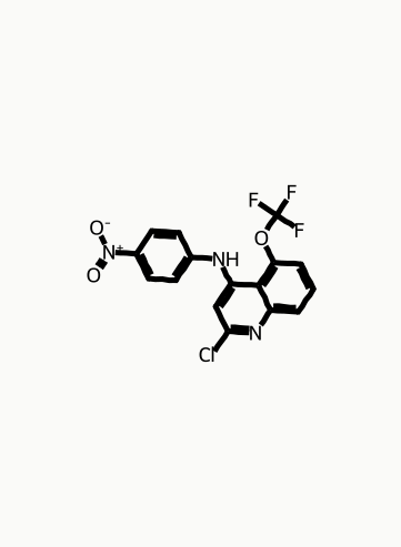 O=[N+]([O-])c1ccc(Nc2cc(Cl)nc3cccc(OC(F)(F)F)c23)cc1